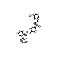 O=C(NCc1cccc(Cl)c1)C1CCC(=CCOc2ccccc2-c2c[nH]cn2)CC1